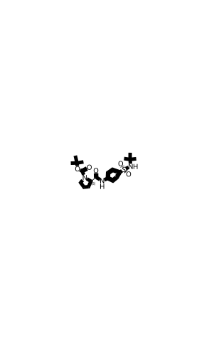 CC(C)(C)NS(=O)(=O)c1ccc(NC(=O)[C@@H]2CCCN2C(=O)OC(C)(C)C)cc1